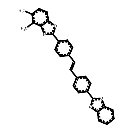 Cc1ccc2oc(-c3ccc(C=Cc4ccc(-c5nc6ccccc6o5)cc4)cc3)nc2c1C